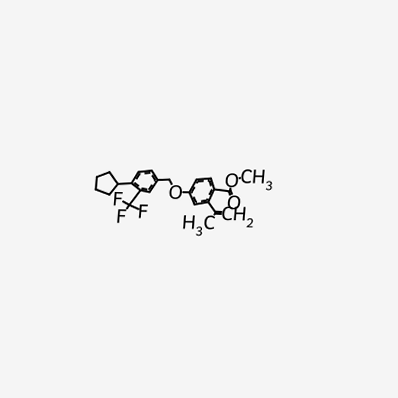 C=C(C)c1cc(OCc2ccc(C3CCCC3)c(C(F)(F)F)c2)ccc1C(=O)OC